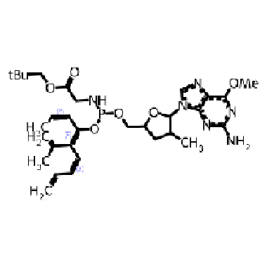 C=C\C=C/C(C(=C)C)=C(/C=C\C)OP(NCC(=O)OCC(C)(C)C)OCC1CC(C)C(n2cnc3c(OC)nc(N)nc32)O1